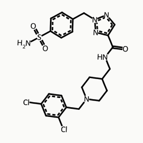 NS(=O)(=O)c1ccc(Cn2ncc(C(=O)NCC3CCN(Cc4ccc(Cl)cc4Cl)CC3)n2)cc1